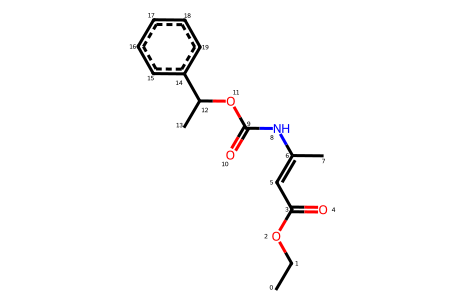 CCOC(=O)C=C(C)NC(=O)OC(C)c1ccccc1